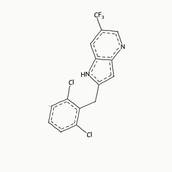 FC(F)(F)c1cnc2cc(Cc3c(Cl)[c]ccc3Cl)[nH]c2c1